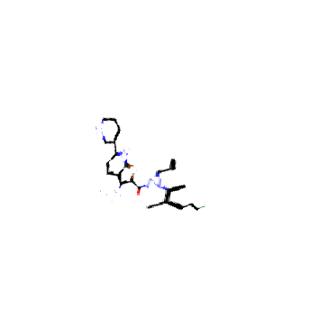 C=CCN(C(=C)/C(C)=C\C=C\F)C(=O)c1sc2nc(C3=CCCN=C3)ccc2c1N